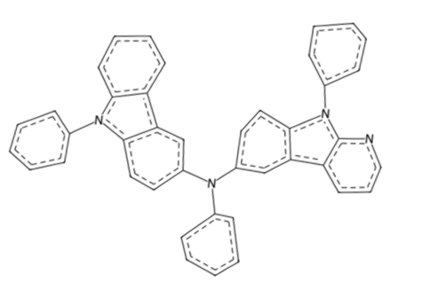 c1ccc(N(c2ccc3c(c2)c2ccccc2n3-c2ccccc2)c2ccc3c(c2)c2cccnc2n3-c2ccccc2)cc1